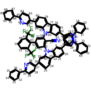 N#Cc1c(-n2c3cc(-c4ccc(-c5ccccc5)nc4)ccc3c3ccc(-c4ccc(-c5ccccc5)nc4)cc32)cc(-c2c(C(F)(F)F)cccc2C(F)(F)F)cc1-n1c2cc(-c3ccc(-c4ccccc4)nc3)ccc2c2ccc(-c3ccc(-c4ccccc4)nc3)cc21